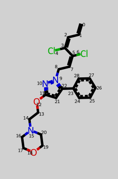 C=C/C=C(Cl)\C(Cl)=C/Cn1nc(OCCN2CCOCC2)cc1-c1ccccc1